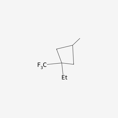 CCC1(C(F)(F)F)CC(C)C1